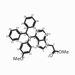 COC(=O)Cn1cnc2c(N(c3ccc(OC)cc3)C(c3ccccc3)c3ccccc3)ncnc21